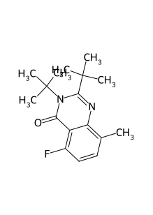 Cc1ccc(F)c2c(=O)n(C(C)(C)C)c(C(C)(C)C)nc12